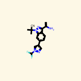 C=C(N)c1nn(C(C)(C)C#N)c2cc(-c3cnn(C(F)F)c3)ccc12